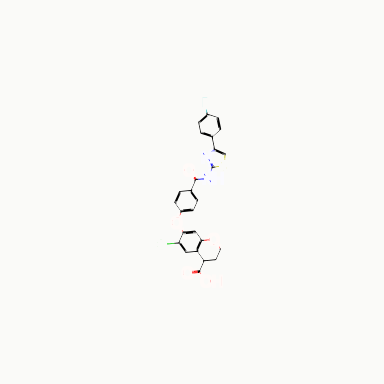 O=C(Nc1nc(-c2ccc(F)cc2)cs1)c1ccc(Oc2cc3c(cc2Cl)C(C(=O)O)CCO3)cc1